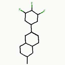 CC1CCC2CC(C3CC(F)C(F)C(F)C3)CCC2C1